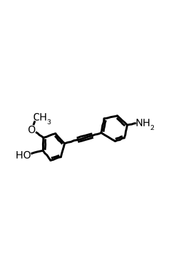 COc1cc(C#Cc2ccc(N)cc2)ccc1O